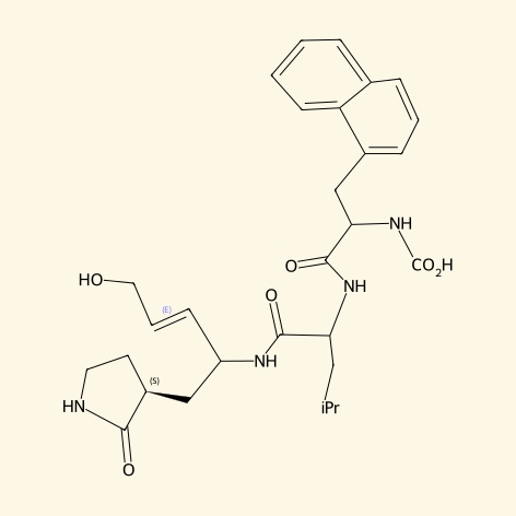 CC(C)CC(NC(=O)C(Cc1cccc2ccccc12)NC(=O)O)C(=O)NC(/C=C/CO)C[C@@H]1CCNC1=O